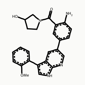 COc1ccccc1-c1c[nH]c2ncc(-c3ccc(N)c(C(=O)N4CCC(O)C4)c3)cc12